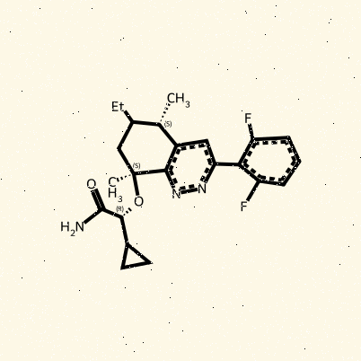 CCC1C[C@](C)(O[C@@H](C(N)=O)C2CC2)c2nnc(-c3c(F)cccc3F)cc2[C@H]1C